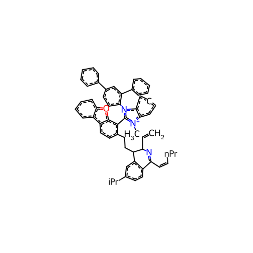 C=CC1N=C(/C=C\CCC)c2ccc(C(C)C)cc2C1CCc1ccc2c(oc3ccccc32)c1-c1n(-c2ccc(-c3ccccc3)cc2-c2ccccc2)c2ccccc2[n+]1C